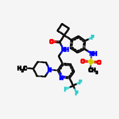 CC1CCN(c2nc(C(F)(F)F)ccc2CNC(=O)C2(c3ccc(NS(C)(=O)=O)c(F)c3)CCC2)CC1